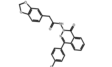 O=C(Cc1ccc2c(c1)OCO2)Nn1nc(-c2ccc(Cl)cc2)c2ccccc2c1=O